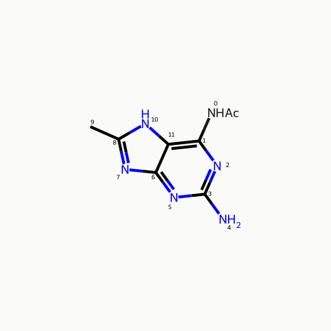 CC(=O)Nc1nc(N)nc2nc(C)[nH]c12